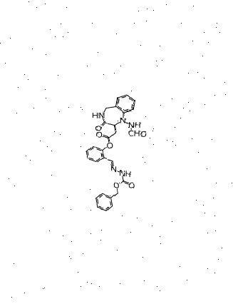 O=CNN1c2ccccc2CNC(=O)C1CC(=O)Oc1ccccc1C=NNC(=O)OCc1ccccc1